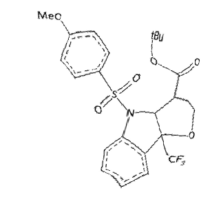 COc1ccc(S(=O)(=O)N2c3ccccc3C3(C(F)(F)F)OCC(C(=O)OC(C)(C)C)C23)cc1